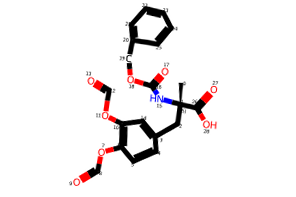 C[C@@](Cc1ccc(OC=O)c(OC=O)c1)(NC(=O)OCc1ccccc1)C(=O)O